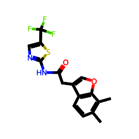 Cc1ccc2c(CC(=O)Nc3ncc(C(F)(F)F)s3)coc2c1C